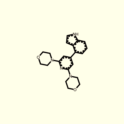 c1cc(-c2cc(N3CCOCC3)nc(N3CCOCC3)c2)c2cc[nH]c2c1